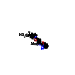 COc1cc(CC(=O)N2CCc3cc([C@H](C)CC(=O)O)ccc32)ccc1NC(=O)Nc1ccccc1C